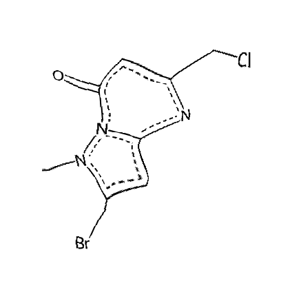 Cn1c(Br)cc2nc(CCl)cc(=O)n21